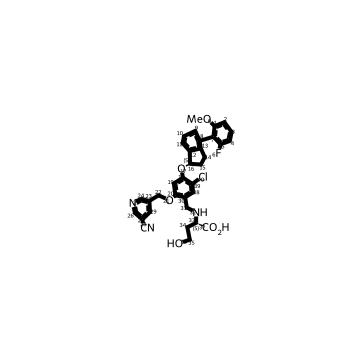 COc1cccc(F)c1-c1cccc2c1CC[C@@H]2Oc1cc(OCc2cncc(C#N)c2)c(CN[C@@H](CCO)C(=O)O)cc1Cl